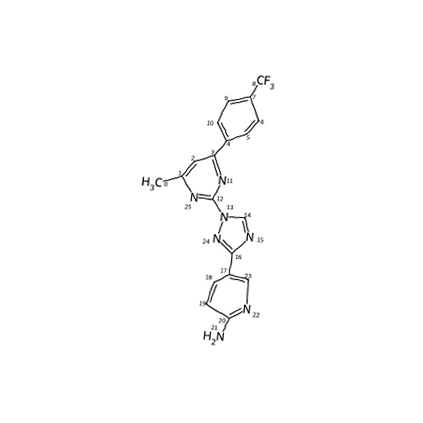 Cc1cc(-c2ccc(C(F)(F)F)cc2)nc(-n2cnc(-c3ccc(N)nc3)n2)n1